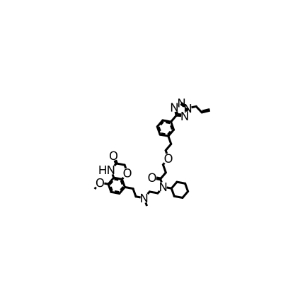 C=CCn1nnc(-c2cccc(CCOCCC(=O)N(CCN(C)CCc3ccc(OC)c4c3OCC(=O)N4)C3CCCCC3)c2)n1